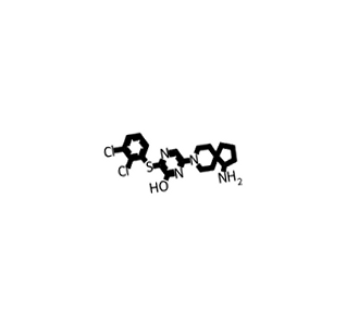 NC1CCCC12CCN(c1cnc(Sc3cccc(Cl)c3Cl)c(O)n1)CC2